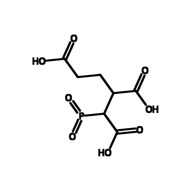 O=C(O)CCC(C(=O)O)C(C(=O)O)P(=O)=O